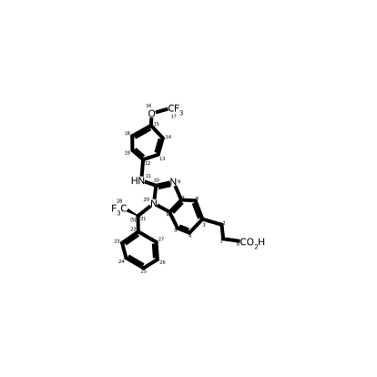 O=C(O)CCc1ccc2c(c1)nc(Nc1ccc(OC(F)(F)F)cc1)n2[C@@H](c1ccccc1)C(F)(F)F